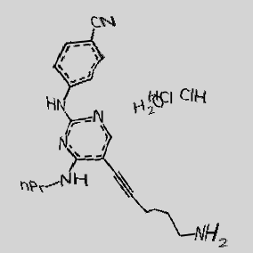 CCCNc1nc(Nc2ccc(C#N)cc2)ncc1C#CCCCN.Cl.Cl.O